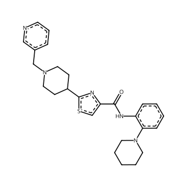 O=C(Nc1ccccc1N1CCCCC1)c1csc(C2CCN(Cc3cccnc3)CC2)n1